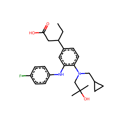 CCC(CC(=O)O)c1ccc(N(CC2CC2)CC(C)(C)O)c(Nc2ccc(F)cc2)c1